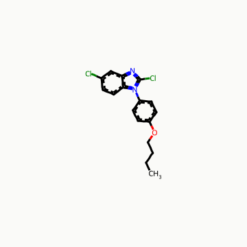 CCCCOc1ccc(-n2c(Cl)nc3cc(Cl)ccc32)cc1